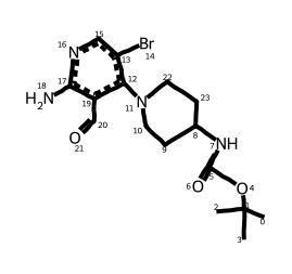 CC(C)(C)OC(=O)NC1CCN(c2c(Br)cnc(N)c2C=O)CC1